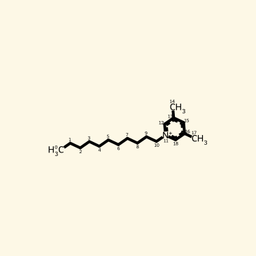 CCCCCCCCCCC[n+]1cc(C)cc(C)c1